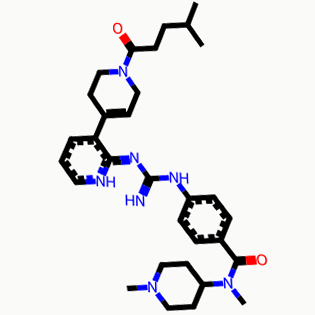 CC(C)CCC(=O)N1CC=C(c2ccc[nH]/c2=N\C(=N)Nc2ccc(C(=O)N(C)C3CCN(C)CC3)cc2)CC1